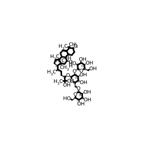 C[C@H](CC[C@@H](O[C@@H]1O[C@H](CO[C@@H]2O[C@H](CO)[C@@H](O)[C@H](O)[C@H]2O)[C@@H](O)[C@H](O)[C@H]1O[C@H]1O[C@H](CO)[C@@H](O)[C@H](O)[C@H]1O)C(C)(C)O)[C@H]1CC[C@@]2(C)C3CC=C4[C@@H](CCC(=O)C4(C)C)[C@]3(C)[C@H](O)C[C@]12C